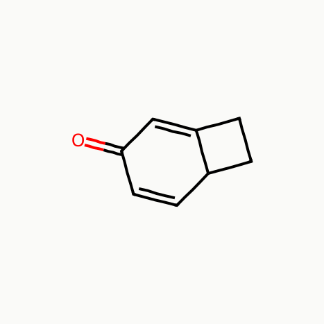 O=C1C=CC2CCC2=C1